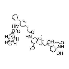 CCOc1cc(NC(=O)CCc2ccc(-c3ccccc3)c(NC(=O)O[C@@H]3C[C@@H]4[C@H]5O[C@H]5[C@H](C3)[N+]4(C)C)c2)cc(OC)c1CNC[C@H](O)c1ccc(O)c2[nH]c(=O)ccc12